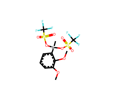 COc1cccc([Si](C)(OS(=O)(=O)C(F)(F)F)OS(=O)(=O)C(F)(F)F)c1OC